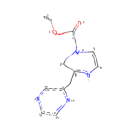 CC(C)(C)OC(=O)N1C=CN=C(c2cnccn2)C1